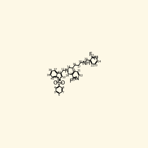 O=S(=O)(c1ccccc1)n1cc(CN(CCCCCNCc2cccnc2F)Cc2cccnc2F)c2ccccc21